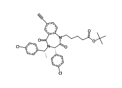 C#Cc1ccc2c(c1)C(=O)N([C@H](C)c1ccc(Cl)cc1)[C@@H](c1ccc(Cl)cc1)C(=O)N2CCCCC(=O)OC(C)(C)C